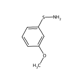 COc1cccc(SN)c1